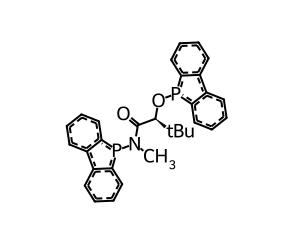 CN(C(=O)[C@@H](Op1c2ccccc2c2ccccc21)C(C)(C)C)p1c2ccccc2c2ccccc21